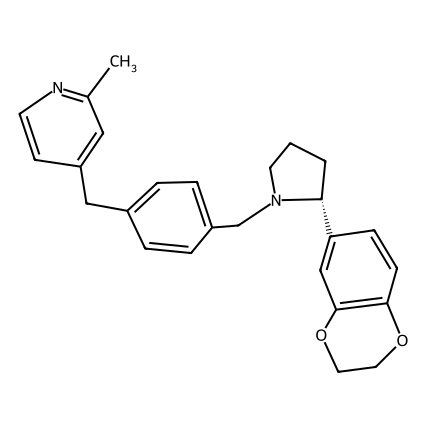 Cc1cc(Cc2ccc(CN3CCC[C@@H]3c3ccc4c(c3)OCCO4)cc2)ccn1